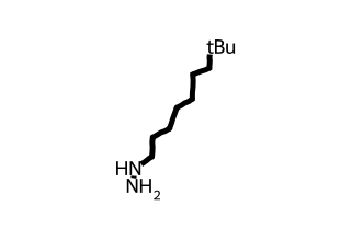 CC(C)(C)CCCCCCCNN